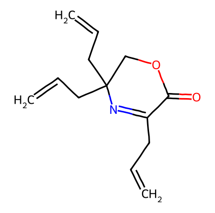 C=CCC1=NC(CC=C)(CC=C)COC1=O